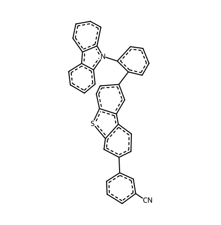 N#Cc1cccc(-c2ccc3c(c2)sc2ccc(-c4ccccc4-n4c5ccccc5c5ccccc54)cc23)c1